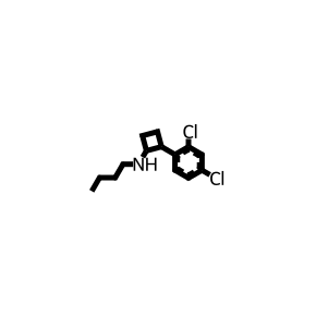 CCCCNC1CCC1c1ccc(Cl)cc1Cl